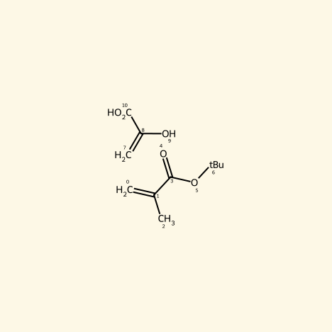 C=C(C)C(=O)OC(C)(C)C.C=C(O)C(=O)O